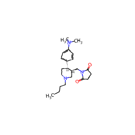 CCCCN1CC[C@H](c2ccc(N(C)C)cc2)[C@@H](CN2C(=O)CCC2=O)C1